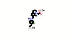 Cc1c(CNc2ccc(CCC=O)c(F)c2)ccc2c1N(CC(=O)OC(C)(C)C)CCC2